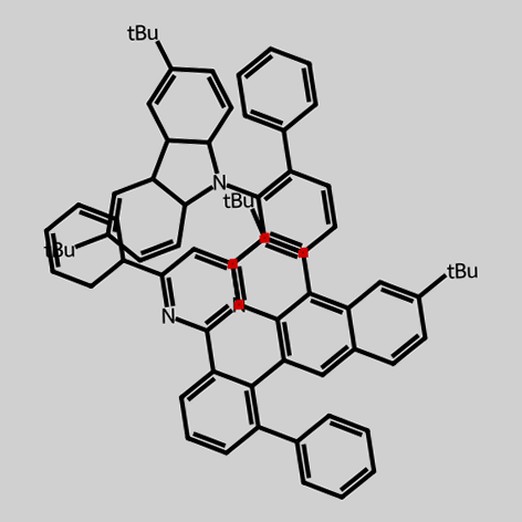 CC(C)(C)C1=CC2C3C=C(C(C)(C)C)C=CC3N(c3c(-c4ccccc4)cccc3-c3cc(C4C=CC=CC4)nc(-c4cccc(-c5ccccc5)c4-c4cc5ccc(C(C)(C)C)cc5c5cc(C(C)(C)C)ccc45)n3)C2C=C1